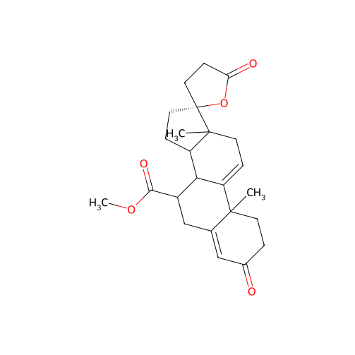 COC(=O)C1CC2=CC(=O)CCC2(C)C2=CCC3(C)C(CC[C@@]34CCC(=O)O4)C21